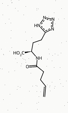 C=CCCC(=O)N[C@H](CCc1nnn[nH]1)C(=O)O